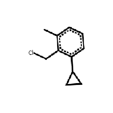 Cc1cccc(C2CC2)c1CCl